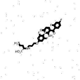 NCC[C@H](NCCCOc1cc(F)c(-n2c(N)c(C(=O)c3ccc(F)cc3F)ccc2=O)c(F)c1)C(=O)O